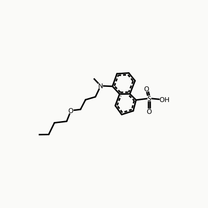 CCCCOCCCN(C)c1cccc2c(S(=O)(=O)O)cccc12